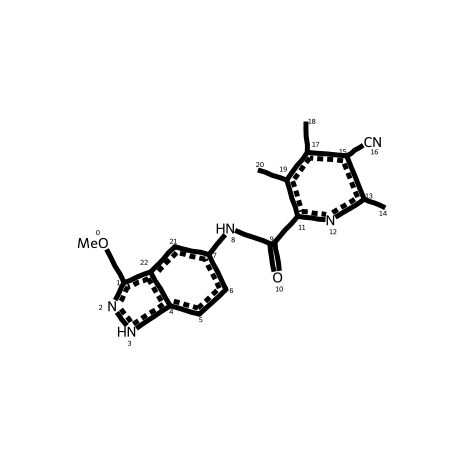 COc1n[nH]c2ccc(NC(=O)c3nc(C)c(C#N)c(C)c3C)cc12